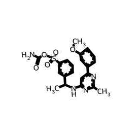 COc1cccc(-c2cc(NC(C)c3cccc(S(=O)(=O)OC(N)=O)c3)nc(C)n2)c1